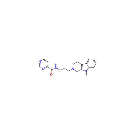 O=C(NCCCN1CCc2c([nH]c3ccccc23)C1)c1ccncn1